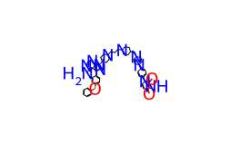 Nc1ncnc2c1c(-c1ccc(Oc3ccccc3)cc1)nn2C1CCN(CCCN2CCC(CN3CCN(c4ccc(-n5ccc(=O)[nH]c5=O)cc4)CC3)CC2)CC1